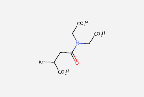 CC(=O)C(CC(=O)N(CC(=O)O)CC(=O)O)C(=O)O